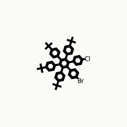 CC(C)(C)c1ccc(-c2c(-c3ccc(Cl)cc3)c(-c3ccc(Br)cc3)c(-c3ccc(C(C)(C)C)cc3)c(-c3ccc(C(C)(C)C)cc3)c2-c2ccc(C(C)(C)C)cc2)cc1